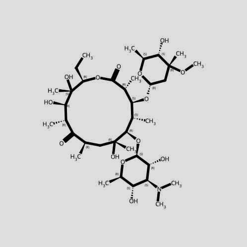 CC[C@H]1OC(=O)[C@H](C)[C@@H](O[C@H]2C[C@@](C)(OC)[C@@H](O)[C@H](C)O2)[C@H](C)[C@@H](O[C@@H]2O[C@H](C)[C@@H](O)[C@H](N(C)C)[C@H]2O)[C@](C)(O)C[C@@H](C)C(=O)[C@H](C)[C@@H](O)[C@]1(C)O